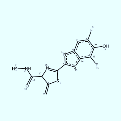 C=C1SC(c2nc3cc(F)c(O)c(F)c3s2)=NC1C(=O)NS